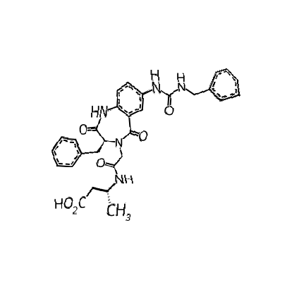 C[C@H](CC(=O)O)NC(=O)CN1C(=O)c2cc(NC(=O)NCc3ccccc3)ccc2NC(=O)[C@@H]1Cc1ccccc1